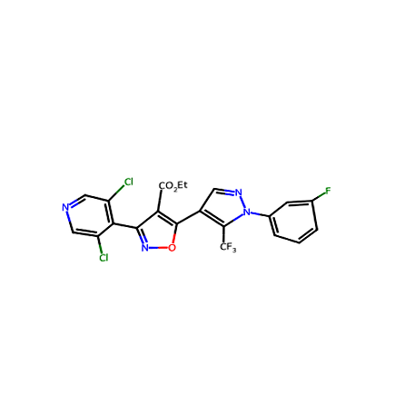 CCOC(=O)c1c(-c2c(Cl)cncc2Cl)noc1-c1cnn(-c2cccc(F)c2)c1C(F)(F)F